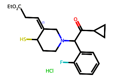 CCOC(=O)C/C=C1/CN(C(C(=O)C2CC2)c2ccccc2F)CCC1S.Cl